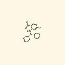 O=[N+]([O-])c1ccc(F)cc1NC(c1ccccc1)c1ccccc1